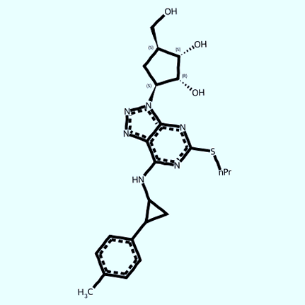 CCCSc1nc(NC2CC2c2ccc(C)cc2)c2nnn([C@H]3C[C@@H](CO)[C@H](O)[C@@H]3O)c2n1